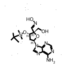 CC(C)(C)[Si](C)(C)O[C@H]1C[C@H](n2cnc3c(N)ncnc32)O[C@]1(C=NO)CO